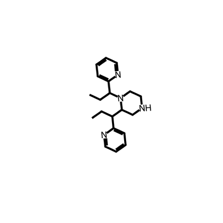 CCC(c1ccccn1)C1CNCCN1C(CC)c1ccccn1